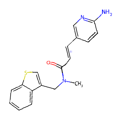 CN(Cc1csc2ccccc12)C(=O)/C=C/c1ccc(N)nc1